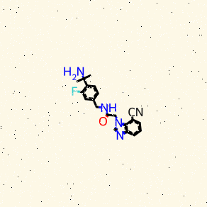 CC(C)(N)c1ccc(CNC(=O)Cn2cnc3cccc(C#N)c32)cc1F